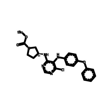 CC(C)(C)OC(=O)N1CC[C@@H](Nc2ncnc(Cl)c2Nc2ccc(Oc3ccccc3)cc2)C1